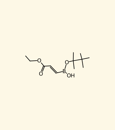 CCOC(=O)/C=C/B(O)OC(C)(C)C(C)(C)C